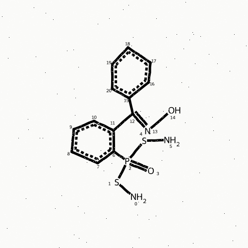 NSP(=O)(SN)c1ccccc1C(=NO)c1ccccc1